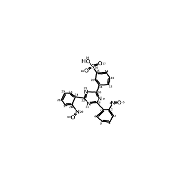 O=Nc1ccccc1-c1nc(-c2cccc(S(=O)(=O)O)c2)nc(-c2ccccc2N=O)n1